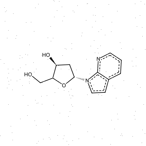 OCC1O[C@@H](n2ccc3cccnc32)C[C@@H]1O